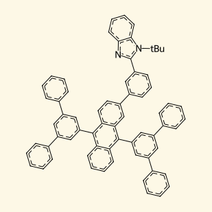 CC(C)(C)n1c(-c2cccc(-c3ccc4c(-c5cc(-c6ccccc6)cc(-c6ccccc6)c5)c5ccccc5c(-c5cc(-c6ccccc6)cc(-c6ccccc6)c5)c4c3)c2)nc2ccccc21